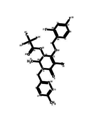 Cc1ncc(CN2C(=O)C(Br)=C(OCc3ccc(F)cc3F)N(OC(=O)C(F)(F)F)C2C)nn1